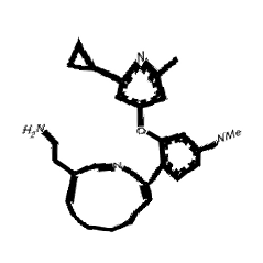 CNc1ccc(C2=CCCC/C=C(CCN)\C=N/2)c(Oc2cc(C)nc(C3CC3)c2)c1